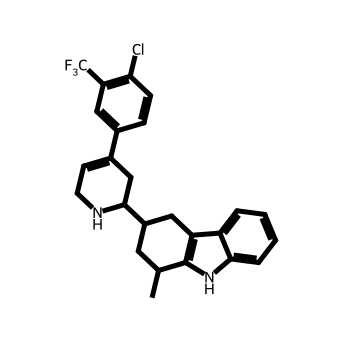 CC1CC(C2CC(c3ccc(Cl)c(C(F)(F)F)c3)=CCN2)Cc2c1[nH]c1ccccc21